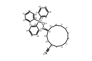 N#CC1CCCCCCCCC/C(=N\O[Si](c2ccccc2)(c2ccccc2)c2ccccc2)CC1